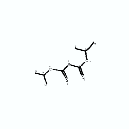 CC(C)OC(=S)SC(=S)OC(C)C